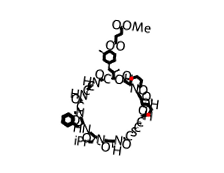 COC(=O)CCC(=O)O[C@@H]1CC[C@@H](C[C@@H](C)[C@@H]2CC(=O)NCCNC(=O)CN(C)C(=O)[C@H](Cc3ccccc3)NC(=O)[C@H](CC(C)C)N(C)C(=O)[C@H](C)NC(=O)CSCC[C@@H]3CC[C@@H](C)[C@@](O)(O3)C(=O)C(=O)N3CCCC[C@H]3C(=O)O2)C[C@H]1C